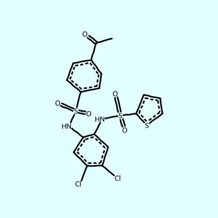 CC(=O)c1ccc(S(=O)(=O)Nc2cc(Cl)c(Cl)cc2NS(=O)(=O)c2cccs2)cc1